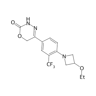 CCOC1CN(c2ccc(C3=NNC(=O)OC3)cc2C(F)(F)F)C1